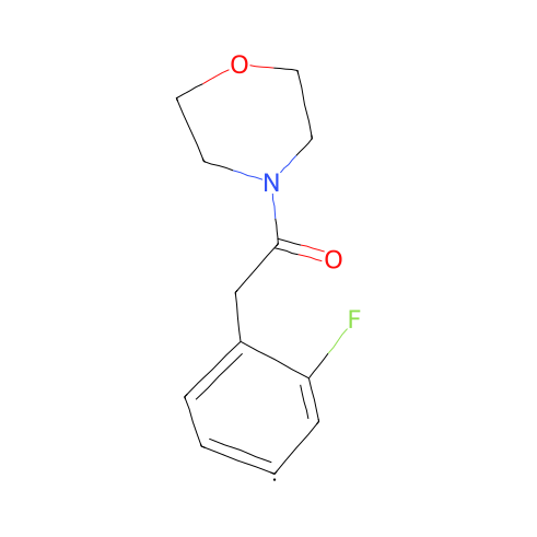 O=C(Cc1cc[c]cc1F)N1CCOCC1